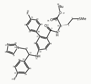 CSCC[C@H](NC(=O)c1ccc(NC(Cn2ccnc2)c2ccc(F)cc2)cc1-c1ccc(F)cc1)C(=O)OC(C)(C)C